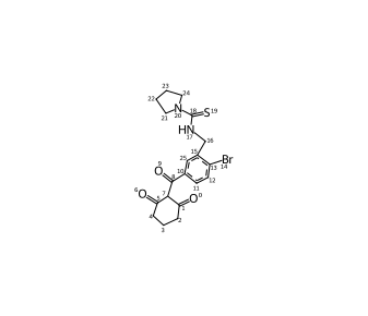 O=C1CCCC(=O)C1C(=O)c1ccc(Br)c(CNC(=S)N2CCCC2)c1